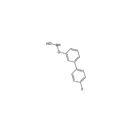 OBOc1cccc(-c2ccc(F)cc2)c1